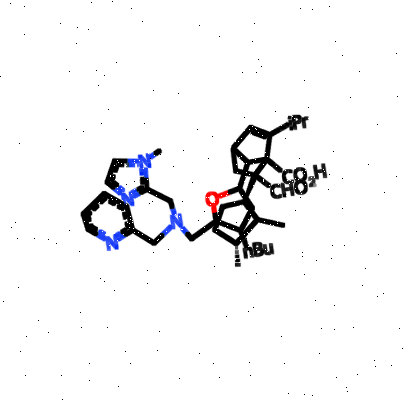 CCCCC1CC(C2C3C=C(C(C)C)C2(C(=O)O)C(C=O)([C@@H]2CC[C@@H](C)C2C)C3)OC1CN(Cc1ccccn1)Cc1nccn1C